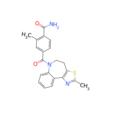 Cc1nc2c(s1)CCN(C(=O)c1ccc(C(N)=O)c(C)c1)c1ccccc1-2